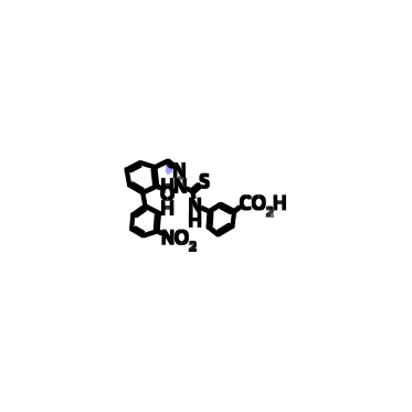 O=C(O)c1cccc(NC(=S)N/N=C\c2cccc(-c3cccc([N+](=O)[O-])c3)c2O)c1